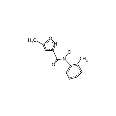 Cc1cc(C(=O)N(Cl)c2ccccc2C)no1